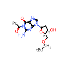 CC(C)C(=O)n1c(N)nc2c(ncn2[C@H]2C[C@H](O)[C@@H](CO[SiH2]C(C)(C)C)O2)c1=O